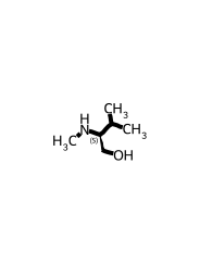 CN[C@H](CO)C(C)C